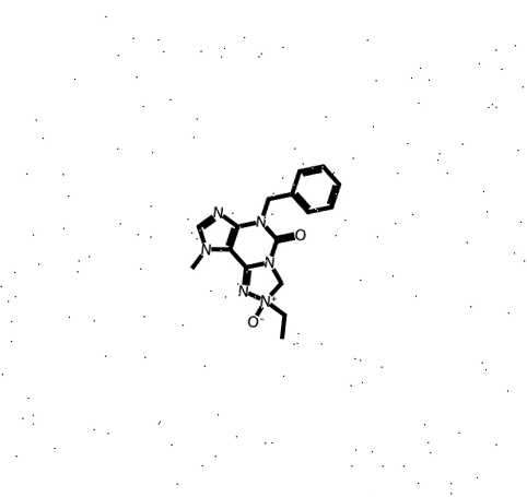 CC[N+]1([O-])CN2C(=O)N(Cc3ccccc3)c3ncn(C)c3C2=N1